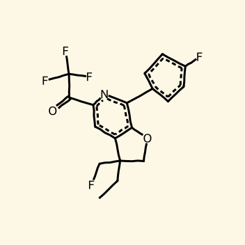 CCC1(CF)COc2c1cc(C(=O)C(F)(F)F)nc2-c1ccc(F)cc1